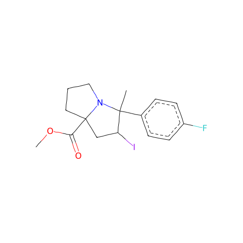 COC(=O)C12CCCN1C(C)(c1ccc(F)cc1)C(I)C2